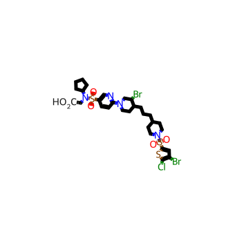 O=C(O)CN(C1CCCC1)S(=O)(=O)c1ccc(N2CCC(CCCC3CCN(S(=O)(=O)c4cc(Br)c(Cl)s4)CC3)C(Br)C2)nc1